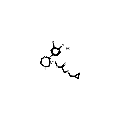 Cl.O=C(COCC1CC1)NC[C@@H]1CNCCO[C@H]1c1ccc(Cl)c(F)c1